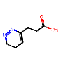 O=C(O)CCC1=CCCN=N1